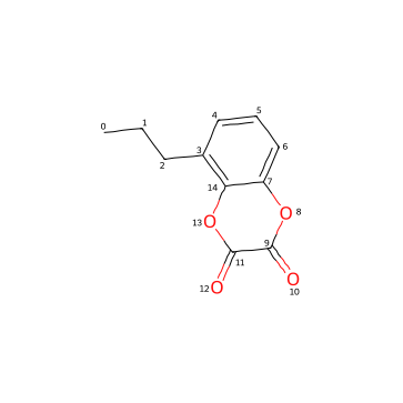 CCCc1cccc2oc(=O)c(=O)oc12